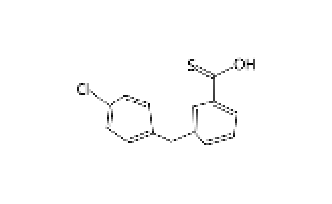 OC(=S)c1cccc(Cc2ccc(Cl)cc2)c1